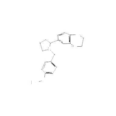 CSc1ccc(CN2CCCC2c2ccc3c(c2)OCCO3)cc1